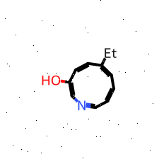 CCc1ccccncc(O)cc1